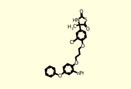 CCCc1cc(Oc2ccccc2)ccc1OCCCOc1ccc(C2(C)NC(=O)SC2=O)cc1Cl